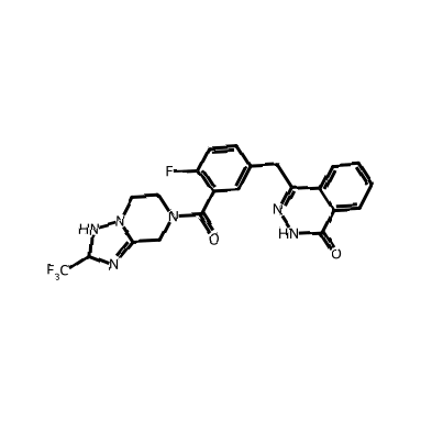 O=C(c1cc(Cc2n[nH]c(=O)c3ccccc23)ccc1F)N1CCN2NC(C(F)(F)F)N=C2C1